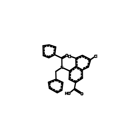 O=C(O)c1cc(N(Cc2ccccc2)C(=O)c2ccccc2)c2c(Cl)cc(Cl)cc2c1